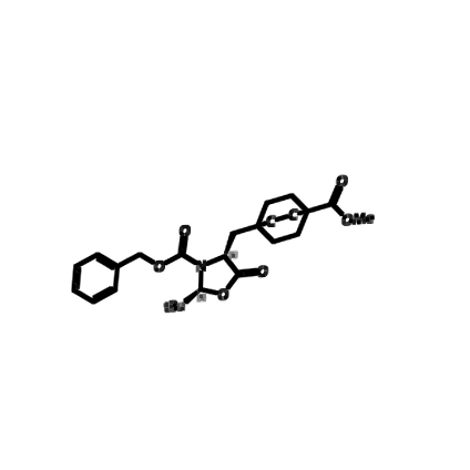 COC(=O)C12CCC(C[C@H]3C(=O)O[C@@H](C(C)(C)C)N3C(=O)OCc3ccccc3)(CC1)CC2